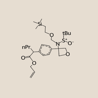 C=CCOC(=O)C(CCC)c1ccc(C2(N(COCC[Si](C)(C)C)[S+]([O-])C(C)(C)C)COC2)cc1